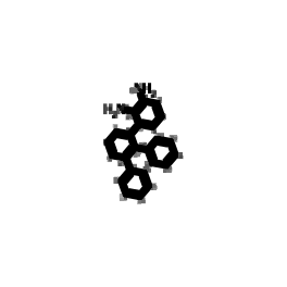 Nc1cccc(-c2cccc(-c3ccccc3)c2-c2ccccc2)c1N